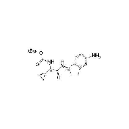 CC(C)(C)OC(=O)N[C@@H](C(=O)N[C@@H]1CCc2cc(N)ccc21)C1CC1